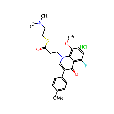 CCCOc1ccc(F)c2c(=O)c(-c3ccc(OC)cc3)cn(CCC(=O)SCCN(C)C)c12.Cl